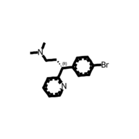 CN(C)CC[C@H](c1ccc(Br)cc1)c1ccccn1